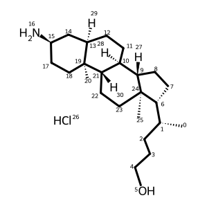 C[C@H](CCCO)[C@H]1CC[C@H]2[C@@H]3CC[C@@H]4C[C@H](N)CC[C@]4(C)[C@H]3CC[C@]12C.Cl